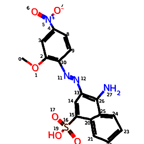 COc1cc([N+](=O)[O-])ccc1/N=N/c1cc(S(=O)(=O)O)c2ccccc2c1N